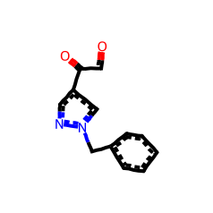 O=CC(=O)c1cnn(Cc2ccccc2)c1